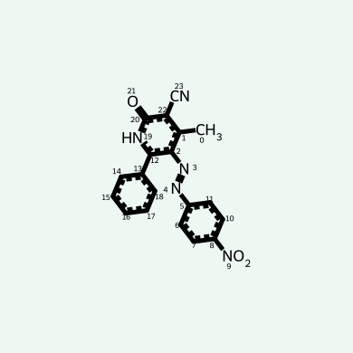 Cc1c(N=Nc2ccc([N+](=O)[O-])cc2)c(-c2ccccc2)[nH]c(=O)c1C#N